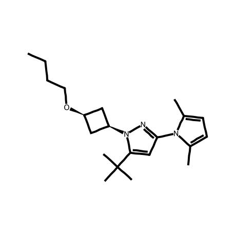 CCCCO[C@H]1C[C@@H](n2nc(-n3c(C)ccc3C)cc2C(C)(C)C)C1